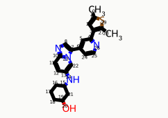 Cc1cc(-c2cc(-c3cnc4ccc(NC5CCCC(O)C5)cn34)ccn2)c(C)s1